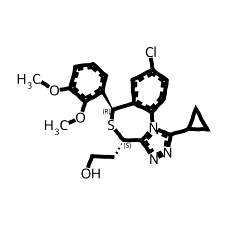 COc1cccc([C@@H]2S[C@@H](CCO)c3nnc(C4CC4)n3-c3ccc(Cl)cc32)c1OC